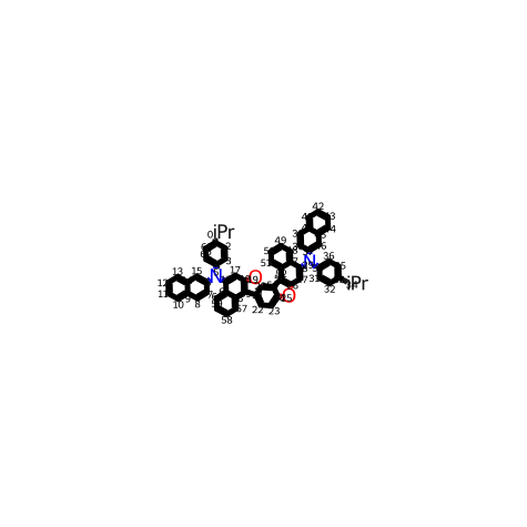 CC(C)c1ccc(N(c2ccc3ccccc3c2)c2cc3oc4c(ccc5oc6cc(N(c7ccc(C(C)C)cc7)c7ccc8ccccc8c7)c7ccccc7c6c54)c3c3ccccc23)cc1